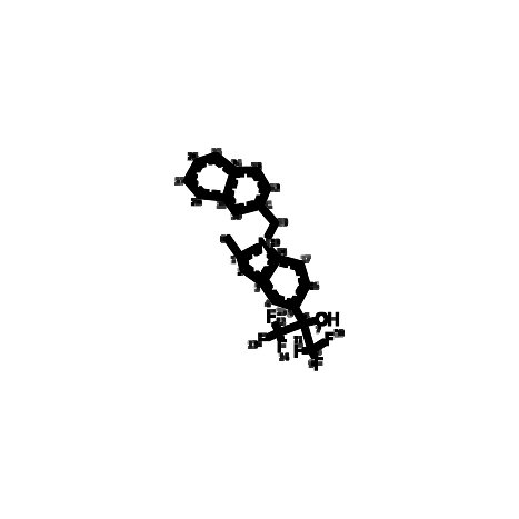 Cc1cc2cc(C(O)(C(F)(F)F)C(F)(F)F)ccc2n1Cc1ccc2ccccc2c1